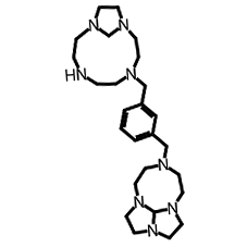 c1cc(CN2CCNCCN3CCN(CC2)C3)cc(CN2CCN3CCN4CCN(CC2)C34)c1